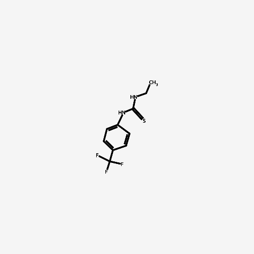 CCNC(=S)Nc1ccc(C(F)(F)F)cc1